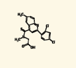 Cc1ccc2nc(-c3ccc(Cl)cc3Cl)cc(C(=S)N(C)CC(=O)O)c2c1